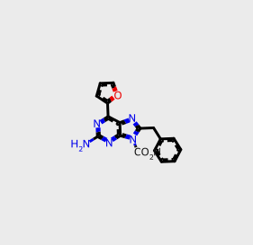 Nc1nc(-c2ccco2)c2nc(Cc3ccccc3)n(C(=O)O)c2n1